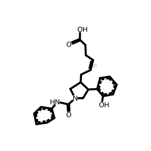 O=C(O)CC/C=C\CC1CN(C(=O)Nc2ccccc2)CC1c1ccccc1O